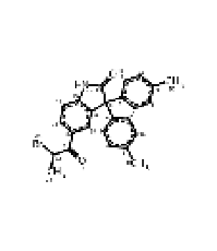 Cc1ccc(C2(c3ccc(C)cc3)C(=O)Nc3ccc(C(=O)C(C)Br)cc32)cc1